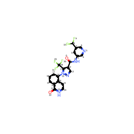 O=C(Nc1cncc(C(F)F)c1)c1cnn(-c2cccc3c(=O)[nH]ccc23)c1C(F)(F)F